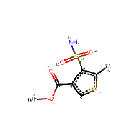 CCCOC(=O)c1csc(CC)c1S(N)(=O)=O